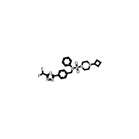 O=S(=O)(N1CCN(C2CCC2)CC1)N(Cc1ccc(-c2nnc(C(F)F)o2)cc1)c1ccccc1